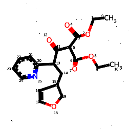 CCOC(=O)C(C(=O)OCC)C(=O)C(CC1C=COC1)c1ccccn1